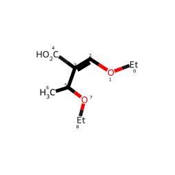 CCOC=C(C(=O)O)C(C)OCC